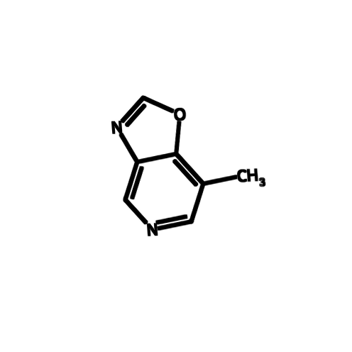 Cc1cncc2ncoc12